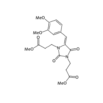 COC(=O)CCN1C(=O)C(=Cc2ccc(OC)c(OC)c2)N(CCC(=O)OC)C1=O